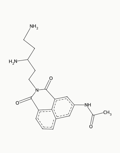 CC(=O)Nc1cc2c3c(cccc3c1)C(=O)N(CCC(N)CCN)C2=O